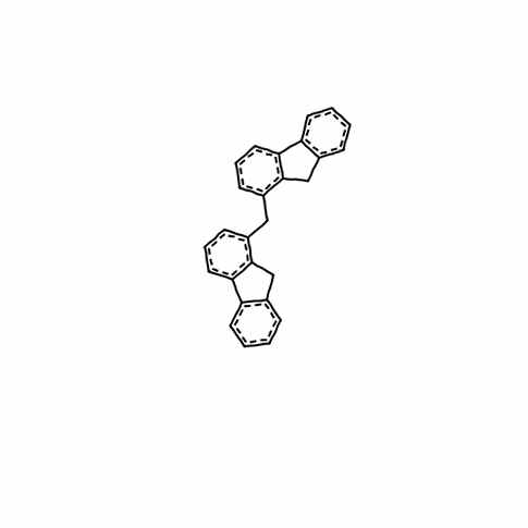 c1ccc2c(c1)Cc1c(Cc3cccc4c3Cc3ccccc3-4)cccc1-2